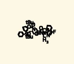 CC(C)(C)OC(=O)N1C[C@@H](C(=O)NC(C)(C)c2ncc(F)c3ccccc23)OC[C@H]1CO[Si](c1ccccc1)(c1ccccc1)C(C)(C)C